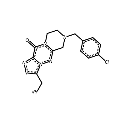 CC(C)Cc1nnc2c(=O)n3c(nn12)CN(Cc1ccc(Cl)cc1)CC3